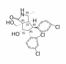 C[C@H]1NC(=O)[C@@]2(CO)[C@@H]1[C@@H](c1ccc(Cl)cc1)[C@H](c1ccc(Cl)cc1Cl)[C@@H]2O